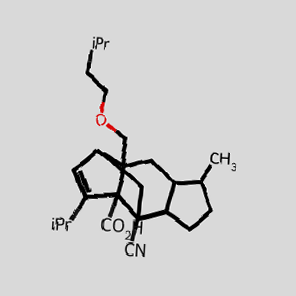 CC(C)CCOCC12CC3C(C)CCC3C3(C#N)CC1C=C(C(C)C)C32C(=O)O